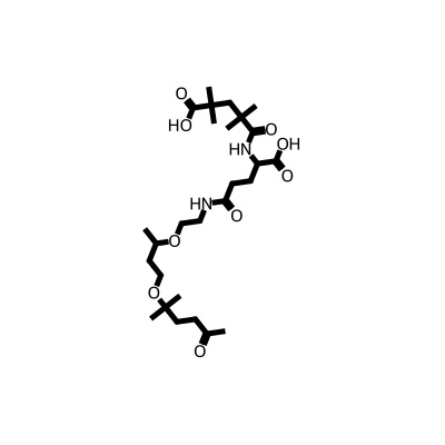 CC(=O)CCC(C)(C)OCCC(C)OCCNC(=O)CCC(NC(=O)C(C)(C)CC(C)(C)C(=O)O)C(=O)O